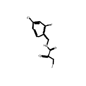 O=C(CI)C(=O)NCc1ccc(Cl)cc1F